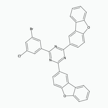 Clc1cc(Br)cc(-c2nc(-c3ccc4oc5ccccc5c4c3)nc(-c3ccc4oc5ccccc5c4c3)n2)c1